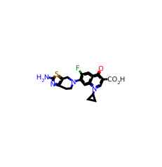 Nc1nc2c(s1)CN(c1cc3c(cc1F)c(=O)c(C(=O)O)cn3C1CC1)CC2